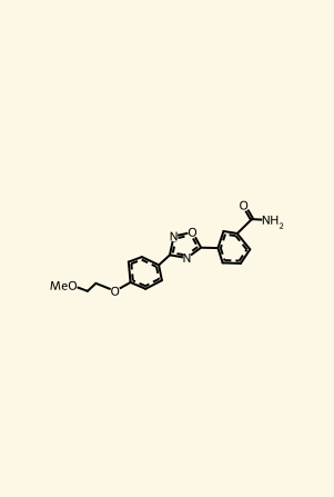 COCCOc1ccc(-c2noc(-c3cccc(C(N)=O)c3)n2)cc1